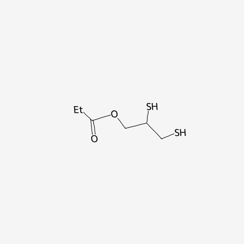 CCC(=O)OCC(S)CS